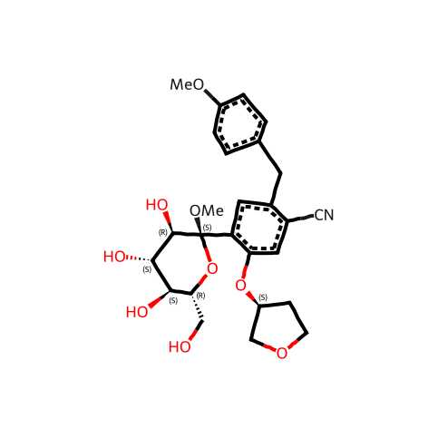 COc1ccc(Cc2cc([C@]3(OC)O[C@H](CO)[C@@H](O)[C@H](O)[C@H]3O)c(O[C@H]3CCOC3)cc2C#N)cc1